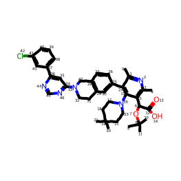 Cc1nc(C)c(C(OC(C)(C)C)C(=O)O)c(N2CCC(C)(C)CC2)c1-c1ccc2c(c1)CCN(c1cc(-c3cccc(Cl)c3)ncn1)C2